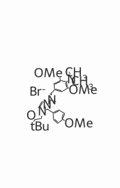 COc1ccc(-c2n(CC(=O)C(C)(C)C)cc[n+]2N=Cc2cc(OC)c(N(C)C)c(OC)c2)cc1.[Br-]